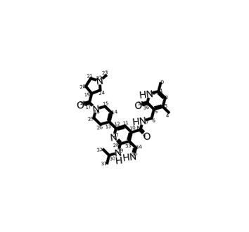 Cc1cc(C)c(CNC(=O)c2cc(C3=CCN(C(=O)C4CCN(C)C4)CC3)nc(NC(C)C)c2C=N)c(=O)[nH]1